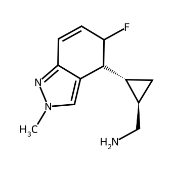 Cn1cc2c(n1)C=CC(F)C2[C@@H]1C[C@H]1CN